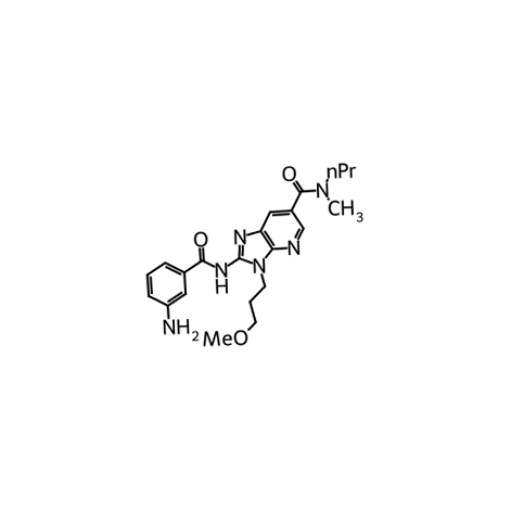 CCCN(C)C(=O)c1cnc2c(c1)nc(NC(=O)c1cccc(N)c1)n2CCCOC